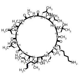 C/C=C/C[C@@H](C)[C@@H](O)[C@H]1C(=O)N[C@@H](CC)C(=O)N(C)[C@H](CSCCCCN)C(=O)N(C)[C@@H](CC(C)(C)O)C(=O)N[C@@H](C(C)C)C(=O)N(C)[C@@H](CC(C)C)C(=O)N[C@@H](C)C(=O)N[C@H](C)C(=O)N(C)[C@@H](CC(C)C)C(=O)N(C)[C@@H](CC(C)C)C(=O)N(C)[C@@H](C(C)C)C(=O)N1C